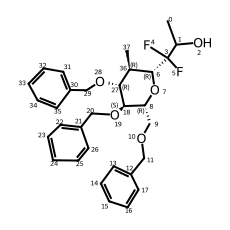 CC(O)C(F)(F)[C@@H]1O[C@H](COCc2ccccc2)[C@@H](OCc2ccccc2)[C@H](OCc2ccccc2)[C@H]1C